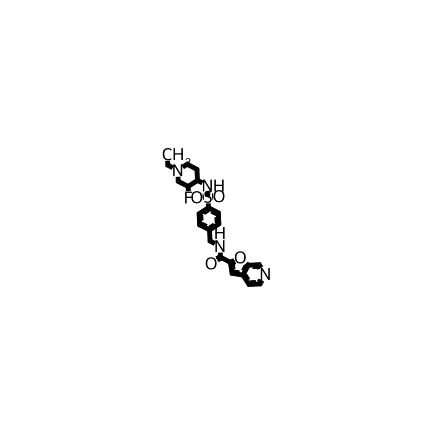 CCN1CCC(NS(=O)(=O)c2ccc(CNC(=O)c3cc4ccncc4o3)cc2)C(F)C1